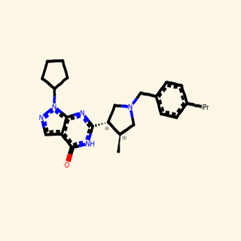 CC(C)c1ccc(CN2C[C@@H](C)[C@H](c3nc4c(cnn4C4CCCC4)c(=O)[nH]3)C2)cc1